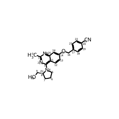 Cc1nc(N2CCC[C@H]2CO)c2ccc(OCc3ccc(C#N)cc3)cc2n1